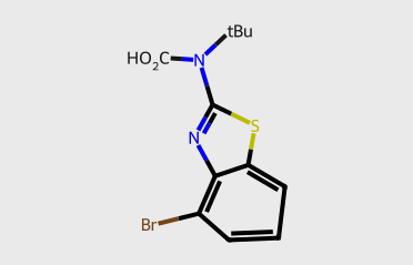 CC(C)(C)N(C(=O)O)c1nc2c(Br)cccc2s1